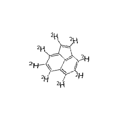 [2H]C1=C([2H])c2c([2H])c([2H])c([2H])c3c([2H])c([2H])c([2H])c1c23